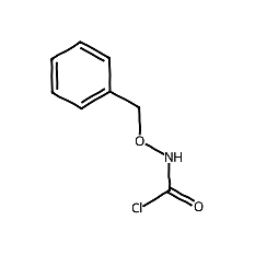 O=C(Cl)NOCc1ccccc1